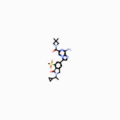 CC(C1CC1)N1Cc2cc(-c3cnc4c(N)nc(C(=O)N5CC(C)(C)C5)cn34)cc(S(C)(=O)=O)c2C1=O